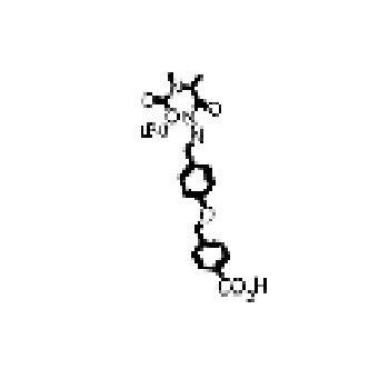 CC(C(=O)N=NCc1ccc(OCc2ccc(C(=O)O)cc2)cc1)N(C)C(=O)OC(C)(C)C